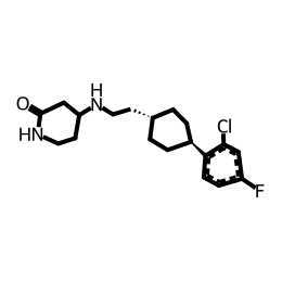 O=C1CC(NCC[C@H]2CC[C@H](c3ccc(F)cc3Cl)CC2)CCN1